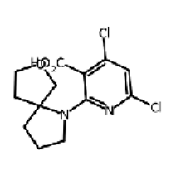 O=C(O)c1c(Cl)cc(Cl)nc1N1CCCC12CCOC2